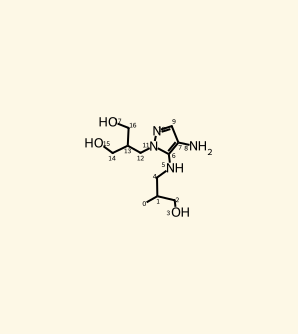 CC(CO)CNc1c(N)cnn1CC(CO)CO